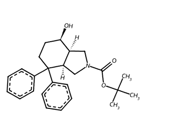 CC(C)(C)OC(=O)N1C[C@@H]2[C@H](O)CCC(c3ccccc3)(c3ccccc3)[C@@H]2C1